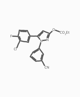 CCOC(=O)Oc1cc(-c2ccc(F)c(Cl)c2)n(-c2cccc(C#N)c2)n1